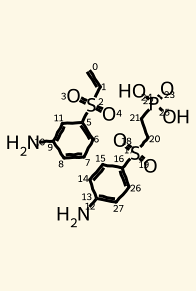 C=CS(=O)(=O)c1cccc(N)c1.Nc1ccc(S(=O)(=O)CCP(=O)(O)O)cc1